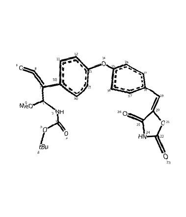 COC(NC(=O)OC(C)(C)C)C(=C=O)c1ccc(Oc2ccc(C=C3OC(=O)NC3=O)cc2)cc1